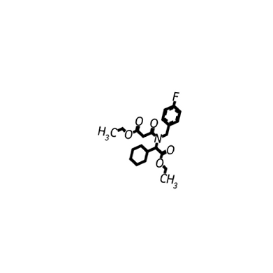 CCOC(=O)CC(=O)N(Cc1ccc(F)cc1)C(C(=O)OCC)C1CCCCC1